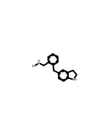 CCNCc1ccccc1Cc1ccc2c(c1)CCN2